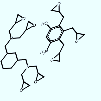 C1CC(CN(CC2CO2)CC2CO2)CC(CN(CC2CO2)CC2CO2)C1.Nc1cc(O)c(CC2CO2)c(CC2CO2)c1CC1CO1